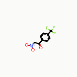 O=C(C[N+](=O)[O-])c1ccc(C(F)(F)F)cc1